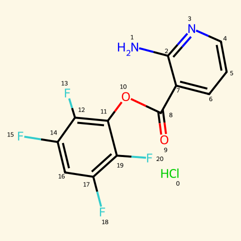 Cl.Nc1ncccc1C(=O)Oc1c(F)c(F)cc(F)c1F